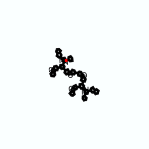 c1ccc(-c2cc(-c3ccc4ccccc4c3)nc(-c3cc(-c4ccc5oc6ccccc6c5c4)cc(-c4ccc5oc6cc(-c7ccc8oc9ccc(-c%10cc(-c%11ccc%12oc%13ccccc%13c%12c%11)cc(-c%11nc(-c%12ccccc%12)cc(-c%12ccc%13ccccc%13c%12)n%11)c%10)cc9c8c7)ccc6c5c4)c3)n2)cc1